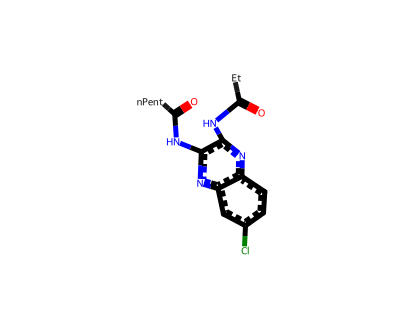 CCCCCC(=O)Nc1nc2cc(Cl)ccc2nc1NC(=O)CC